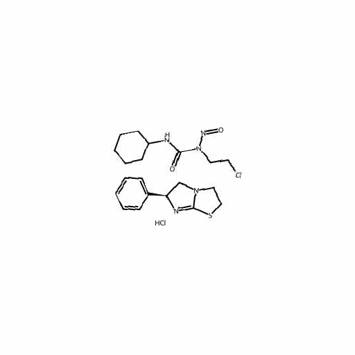 Cl.O=NN(CCCl)C(=O)NC1CCCCC1.c1ccc([C@H]2CN3CCSC3=N2)cc1